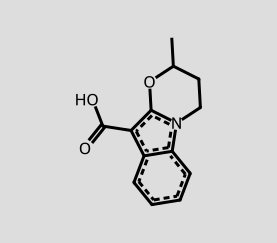 CC1CCn2c(c(C(=O)O)c3ccccc32)O1